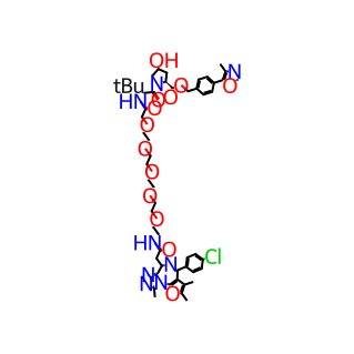 Cc1ncoc1-c1ccc(COC(=O)[C@@H]2C[C@@H](O)CN2C(=O)C(NC(=O)COCCOCCOCCOCCOCCNC(=O)CC2N=C(c3ccc(Cl)cc3)c3c(oc(C)c3C)-n3c(C)nnc32)C(C)(C)C)cc1